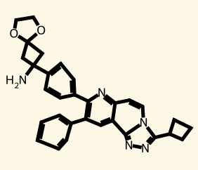 NC1(c2ccc(-c3nc4ccn5c(C6CCC6)nnc5c4cc3-c3ccccc3)cc2)CC2(C1)OCCO2